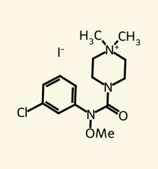 CON(C(=O)N1CC[N+](C)(C)CC1)c1cccc(Cl)c1.[I-]